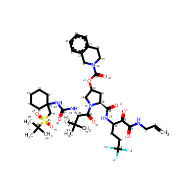 C=CCNC(=O)C(=O)C(CCC(F)(F)F)NC(=O)[C@@H]1CC(OC(=O)N2CCc3ccccc3C2)CN1C(=O)[C@@H](NC(=O)NC1(CS(=O)(=O)C(C)(C)C)CCCCC1)C(C)(C)C